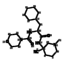 CN1CCCC(C#N)(NC(=O)C(CC2CCCCC2)NC(=O)N2CCOCC2)C1